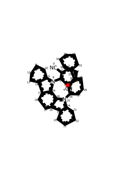 N#Cc1cccc(C#N)c1-n1c2ccccc2c2ccc3c4ccccc4n(-c4cccc(-c5ccccc5)c4)c3c21